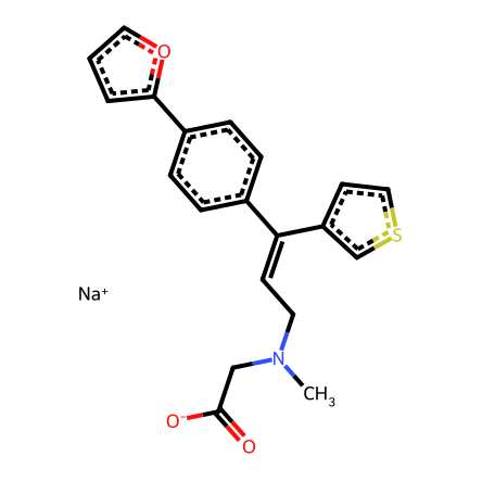 CN(CC=C(c1ccc(-c2ccco2)cc1)c1ccsc1)CC(=O)[O-].[Na+]